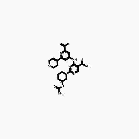 C=C(C)c1cc(Nc2nc(N3CCC[C@H](OC(N)=O)C3)ncc2C(N)=O)cc(C2=CCOCC2)n1